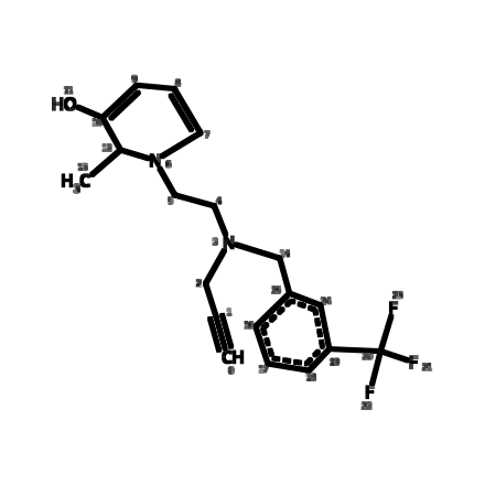 C#CCN(CCN1C=CC=C(O)C1C)Cc1cccc(C(F)(F)F)c1